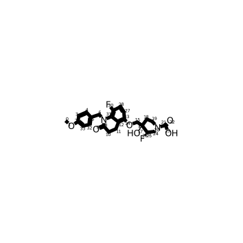 COc1ccc(CN2C(=O)CCc3c(OC[C@@]4(O)CCN(C(=O)O)C[C@H]4F)ccc(F)c32)cc1